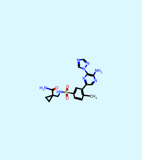 Cc1ccc(S(=O)(=O)NCC2(C(N)=O)CC2)cc1-c1cnc(N)c(-n2cncn2)n1